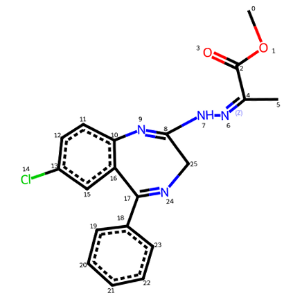 COC(=O)/C(C)=N\NC1=Nc2ccc(Cl)cc2C(c2ccccc2)=NC1